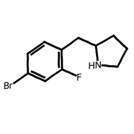 Fc1cc(Br)ccc1CC1CCCN1